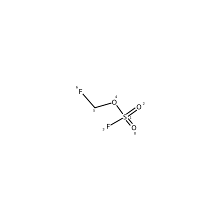 O=S(=O)(F)OCF